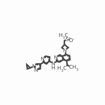 CC(C)c1ccc(N2CC(C[S+](C)[O-])C2)c2cnc(Nc3ccnc(-c4cnn(C5CC5)c4)c3)cc12